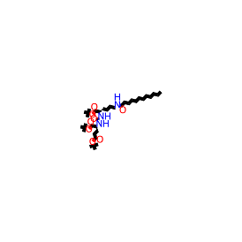 CCCCCCCCCCCC(=O)NCCCC[C@H](NC(=O)N[C@@H](CCC(=O)OC(C)(C)C)C(=O)OC(C)(C)C)C(=O)OC(C)(C)C